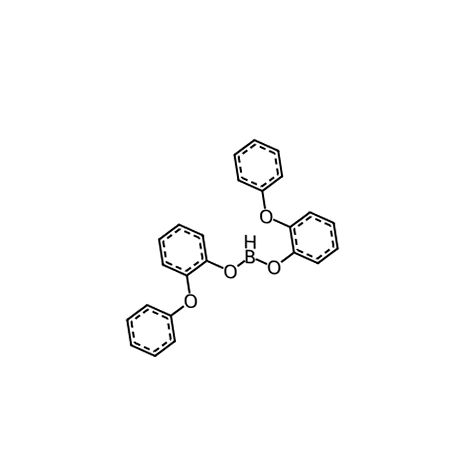 B(Oc1ccccc1Oc1ccccc1)Oc1ccccc1Oc1ccccc1